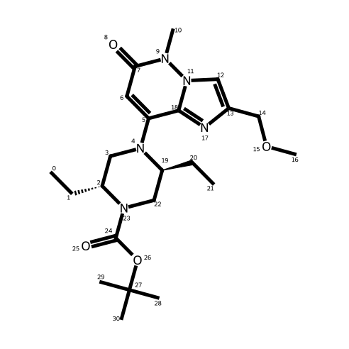 CC[C@@H]1CN(c2cc(=O)n(C)n3cc(COC)nc23)[C@@H](CC)CN1C(=O)OC(C)(C)C